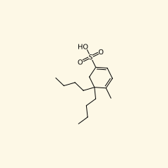 CCCCC1(CCCC)CC(S(=O)(=O)O)=CC=C1C